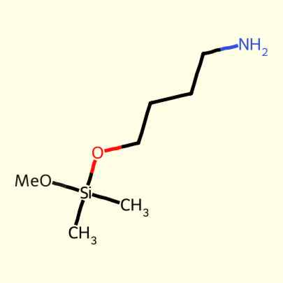 CO[Si](C)(C)OCCCCN